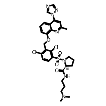 Cc1cc(-n2cncn2)c2cccc(OCc3c(Cl)ccc(S(=O)(=O)N4CCC[C@H]4C(=O)NCCCN(C)C)c3Cl)c2n1